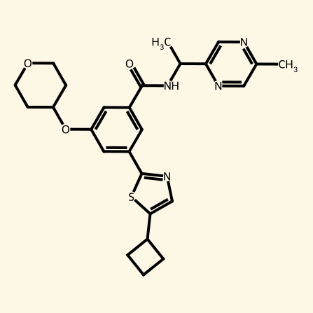 Cc1cnc(C(C)NC(=O)c2cc(OC3CCOCC3)cc(-c3ncc(C4CCC4)s3)c2)cn1